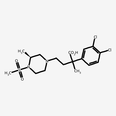 C[C@H]1CN(CCC(C)(C(=O)O)c2ccc(Cl)c(Cl)c2)CCN1S(C)(=O)=O